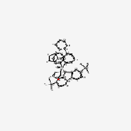 [CH2]=[Zr]([c]1ccccc1)([c]1cccc(-c2ccccc2)c1C1CCCC1)([CH]1C=CC=C1)[CH]1c2cc(C(C)(C)C)ccc2-c2ccc(C(C)(C)C)cc21